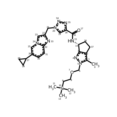 Cc1c2c(nn1COCC[Si](C)(C)C)[C@H](NC(=O)c1cn(Cc3cn4cc(C5CC5)ccc4n3)nn1)CC2